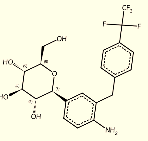 Nc1ccc([C@@H]2O[C@H](CO)[C@@H](O)[C@H](O)[C@H]2O)cc1Cc1ccc(C(F)(F)C(F)(F)F)cc1